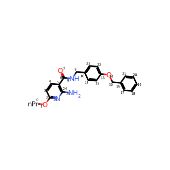 CCCOc1ccc(C(=O)NCc2ccc(OCc3ccccc3)cc2)c(N)n1